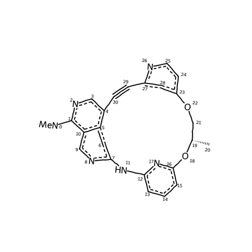 CNc1ncc2c3cc(ncc13)Nc1cccc(n1)O[C@@H](C)COc1ccnc(c1)C#C2